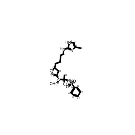 Cc1c[nH]c(NCCCCC2CC(N(C=O)C(C)(NS(=O)(=O)c3ccccc3)C(=O)O)=NO2)n1